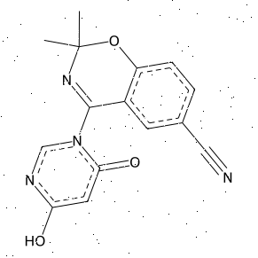 CC1(C)N=C(n2cnc(O)cc2=O)c2cc(C#N)ccc2O1